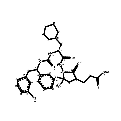 COC(=O)CCC1CC(C)(C)N(NC(=O)[C@H](CC2CCCCC2)NC(=O)OC(Cc2cccc(Cl)c2)c2ccccc2)C1=O